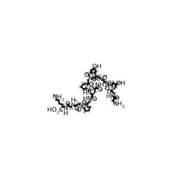 C[C@H](NC(=O)[C@@H]1CCCN1C(=O)CNC(=O)[C@H](CCC(N)=O)NC(=O)[C@@H]1CCCN1C(=O)CNC(=O)[C@@H]1C[C@@H](O)CN1C(=O)CNC(=O)CNC(=O)[C@@H]1C[C@@H](O)CN1C(=O)CNC(=O)CN)C(=O)NCC(=O)N[C@@H](CCCCN)C(=O)O